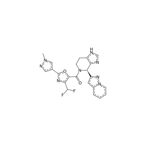 Cn1cc(-c2nc(C(F)F)c(C(=O)N3CCc4[nH]cnc4[C@H]3c3cc4ccccn4n3)o2)cn1